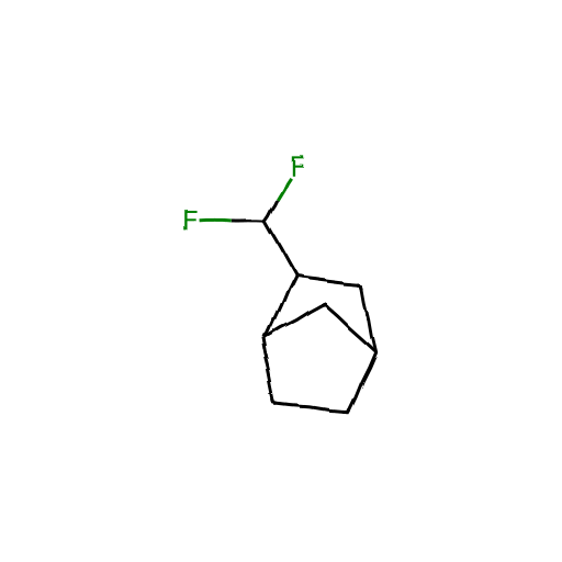 FC(F)C1CC2CCC1C2